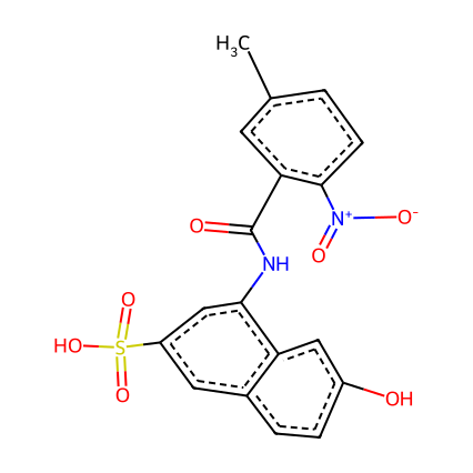 Cc1ccc([N+](=O)[O-])c(C(=O)Nc2cc(S(=O)(=O)O)cc3ccc(O)cc23)c1